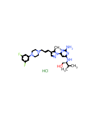 Cc1c(C=CCN2CCN(c3cc(F)cc(F)c3)CC2)cnn1-c1cc(N[C@H](CO)C(C)C)nc(N)n1.Cl